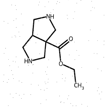 CCOC(=O)C12CNCC1CNC2